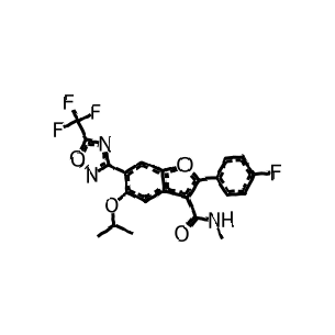 CNC(=O)c1c(-c2ccc(F)cc2)oc2cc(-c3noc(C(F)(F)F)n3)c(OC(C)C)cc12